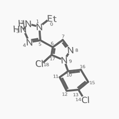 CCN1NNN=C1c1cnn(-c2ccc(Cl)cc2)c1Cl